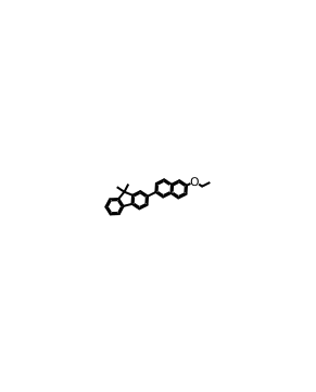 CCOc1ccc2cc(-c3ccc4c(c3)C(C)(C)c3ccccc3-4)ccc2c1